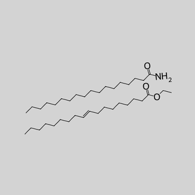 CCCCCCCCC=CCCCCCCCC(=O)OCC.CCCCCCCCCCCCCCCCCC(N)=O